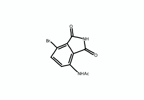 CC(=O)Nc1ccc(Br)c2c1C(=O)NC2=O